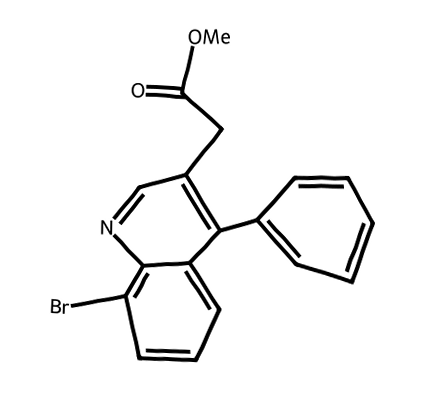 COC(=O)Cc1cnc2c(Br)cccc2c1-c1ccccc1